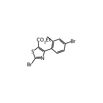 CCOC(=O)c1sc(Br)nc1-c1ccc(Br)cc1C